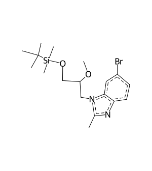 COC(CO[Si](C)(C)C(C)(C)C)Cn1c(C)nc2ccc(Br)cc21